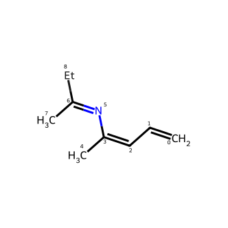 C=C/C=C(C)\N=C(/C)CC